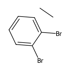 Brc1ccccc1Br.CC